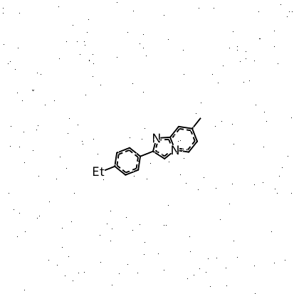 CCc1ccc(-c2cn3ccc(C)cc3n2)cc1